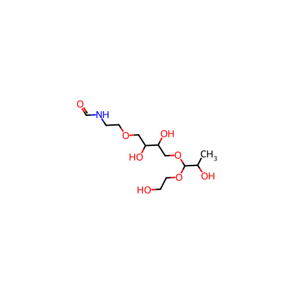 CC(O)C(OCCO)OCC(O)C(O)COCCNC=O